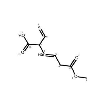 COC(=O)C[CH]=[SnH][CH](C=S)C(=O)O